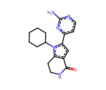 Nc1nccc(-c2cc3c(n2C2CCCCC2)CCNC3=O)n1